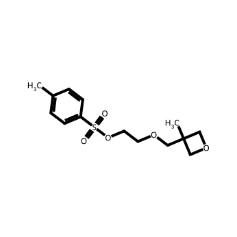 Cc1ccc(S(=O)(=O)OCCOCC2(C)COC2)cc1